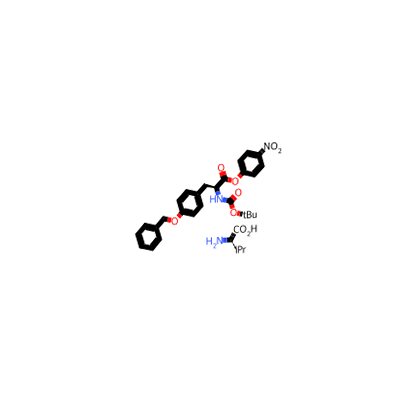 CC(C)(C)OC(=O)N[C@@H](Cc1ccc(OCc2ccccc2)cc1)C(=O)Oc1ccc([N+](=O)[O-])cc1.CC(C)[C@H](N)C(=O)O